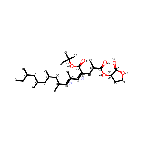 CCC(C)CC(C)CC(C)CC(C)/C=C(C)/C=C(/CC(C)C(=O)O[C@@H]1CCOC1=O)C(=O)OC(C)(C)C